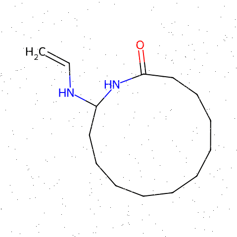 C=CNC1CCCCCCCCCCC(=O)N1